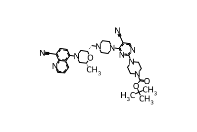 C[C@@H]1CN(c2ccc(C#N)c3ncccc23)C[C@H](CN2CCN(c3nc(N4CCN(C(=O)OC(C)(C)C)CC4)ncc3C#N)CC2)O1